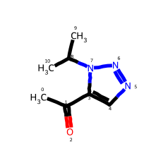 CC(=O)c1cnnn1C(C)C